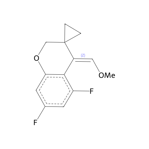 CO/C=C1\c2c(F)cc(F)cc2OCC12CC2